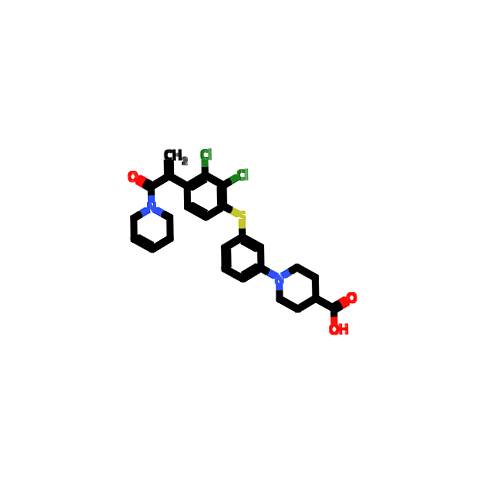 C=C(C(=O)N1CC=CCC1)c1ccc(Sc2cccc(N3CCC(C(=O)O)CC3)c2)c(Cl)c1Cl